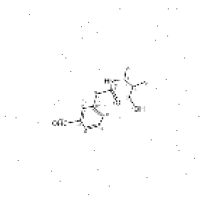 CC(CO)C(C)NC(=O)Cc1cccc(C=O)c1